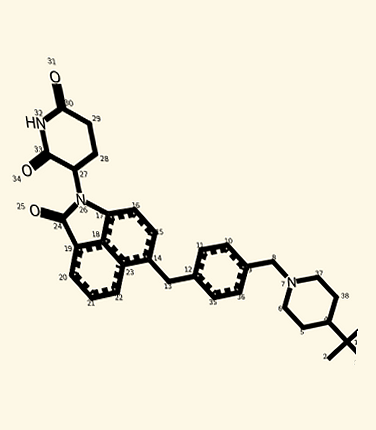 CC(C)(O)C1CCN(Cc2ccc(Cc3ccc4c5c(cccc35)C(=O)N4C3CCC(=O)NC3=O)cc2)CC1